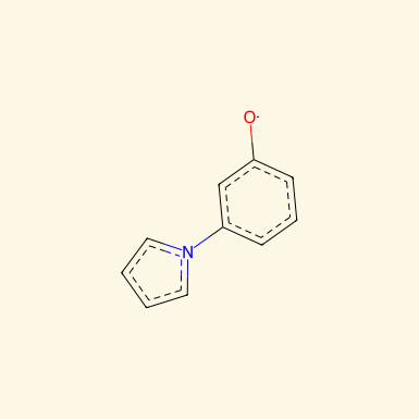 [O]c1cccc(-n2cccc2)c1